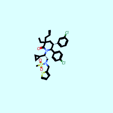 C=CCC1(CC)C[C@H](c2cccc(Cl)c2)C(c2ccc(Cl)cc2)N([C@H](CN(Cc2cccs2)S(C)(=O)=O)C2CC2)C1=O